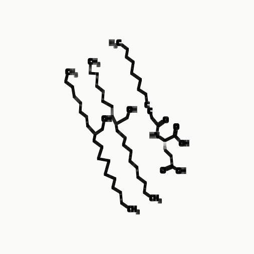 CCCCCCCCCCC(CO)CCCCCCCC.CCCCCCCCCCC(CO)CCCCCCCC.CCCCCCCCCCCC(=O)N[C@@H](CCC(=O)O)C(=O)O